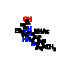 CCC(CCNc1nc2ccc(C)cc2cc1C(N)NC(C)=O)NCCO